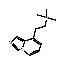 C[Si](C)(C)CCc1cccn2cncc12